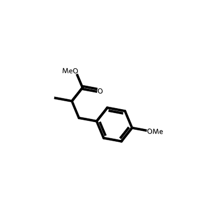 COC(=O)C(C)Cc1ccc(OC)cc1